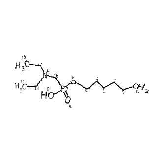 CCCCCCOP(=O)(O)CN(CC)CC